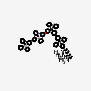 C=CC[NH3+].C=CC[NH3+].C=CC[NH3+].C=CC[NH3+].c1ccc([B-](c2ccccc2)(c2ccccc2)c2ccccc2)cc1.c1ccc([B-](c2ccccc2)(c2ccccc2)c2ccccc2)cc1.c1ccc([B-](c2ccccc2)(c2ccccc2)c2ccccc2)cc1.c1ccc([B-](c2ccccc2)(c2ccccc2)c2ccccc2)cc1